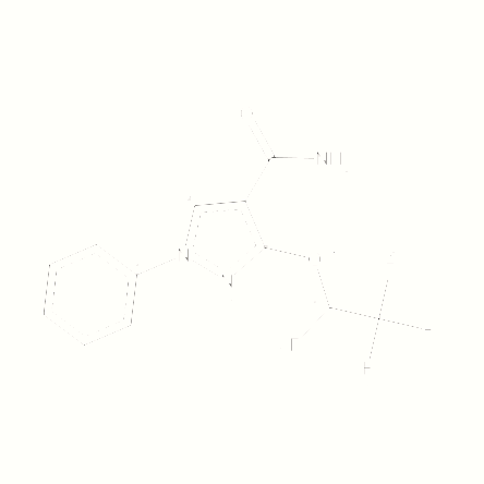 NC(=O)c1cn(-c2ccccc2)nc1OC(F)C(F)(F)F